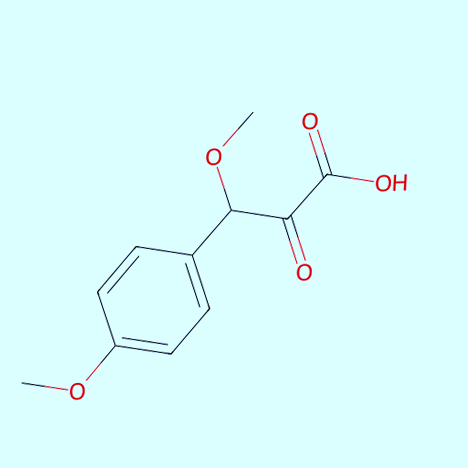 COc1ccc(C(OC)C(=O)C(=O)O)cc1